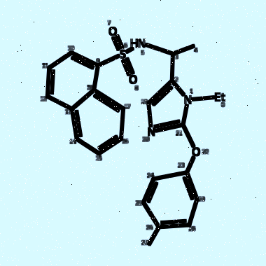 CCn1c(C(C)NS(=O)(=O)c2cccc3ccccc23)cnc1Oc1ccc(C)cc1